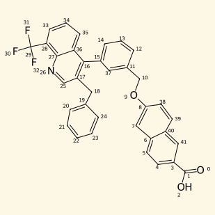 O=C(O)c1ccc2cc(OCc3cccc(-c4c(Cc5ccccc5)cnc5c(C(F)(F)F)cccc45)c3)ccc2c1